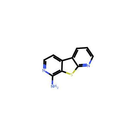 Nc1nccc2c1sc1ncccc12